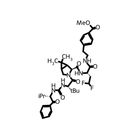 COC(=O)c1ccc(CCNC(=O)[C@H](CC(F)F)NC(=O)[C@@H]2C3C(CN2C(=O)[C@@H](NC(=O)N[C@H](C(=O)c2ccccc2)C(C)C)C(C)(C)C)C3(C)C)cc1